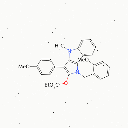 CCOC(=O)Oc1c(-c2ccc(OC)cc2)c2c(c3ccccc3n2C)n1Cc1ccccc1OC